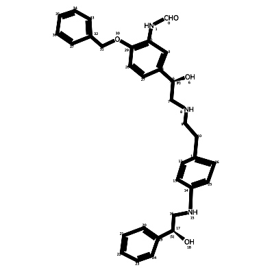 O=CNc1cc([C@@H](O)CNCCc2ccc(NC[C@@H](O)c3ccccc3)cc2)ccc1OCc1ccccc1